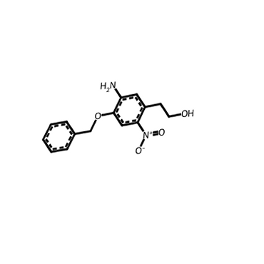 Nc1cc(CCO)c([N+](=O)[O-])cc1OCc1ccccc1